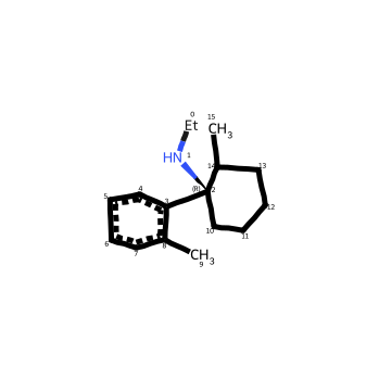 CCN[C@]1(c2ccccc2C)CCCCC1C